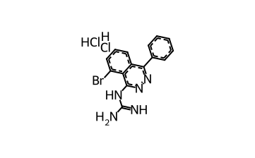 Cl.Cl.N=C(N)Nc1nnc(-c2ccccc2)c2cccc(Br)c12